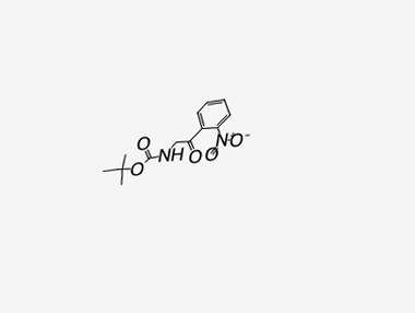 CC(C)(C)OC(=O)NCC(=O)c1ccccc1[N+](=O)[O-]